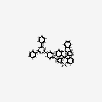 C[Si]1(C)c2ccccc2C2(c3ccccc3-n3c4ccccc4c4cccc2c43)c2cc(-c3ccc(-c4nc(-c5ccccc5)nc(-c5ccccc5)n4)cc3)ccc21